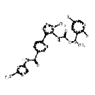 C[C@@H](OC(=O)Nc1c(-c2ccc(C(=O)Nc3cnc(C(F)(F)F)s3)cn2)nnn1C)c1cc(F)cnc1F